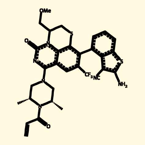 C=CC(=O)N1[C@H](C)CN(c2nc(=O)n3c4c(c(-c5cccc6sc(N)c(C#N)c56)c(C(F)(F)F)cc24)SCC3COC)C[C@@H]1C